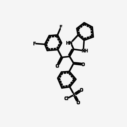 O=C(C(C(=O)c1cccc(S(=O)(=O)Cl)c1)=C1Nc2ccccc2N1)c1cc(F)cc(F)c1